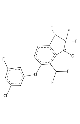 [O-][S+]1c2c(ccc(Oc3cc(F)cc(Cl)c3)c2C(F)F)[C@H](F)C1(F)F